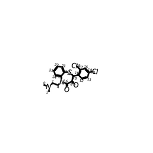 CN(C)CCN1C(=O)C(=O)C(c2ccc(Cl)cc2Cl)Sc2ccccc21